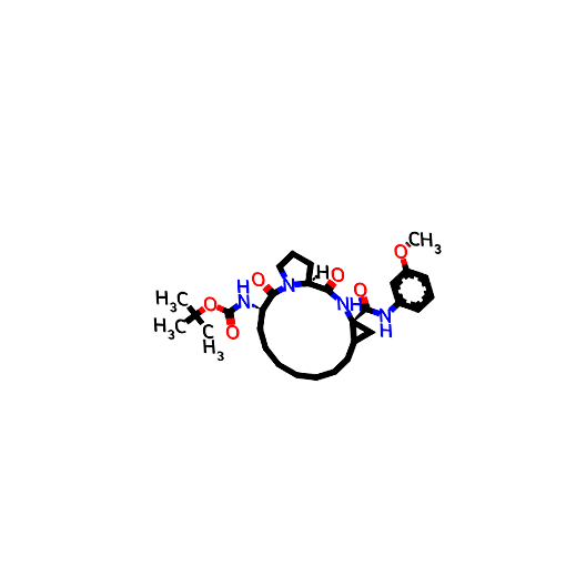 COc1cccc(NC(=O)[C@@]23CC2CCCCCCC[C@H](NC(=O)OC(C)(C)C)C(=O)N2CCC[C@H]2C(=O)N3)c1